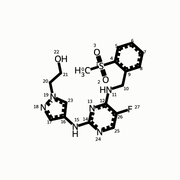 CS(=O)(=O)c1ccccc1CNc1nc(Nc2cnn(CCO)c2)ncc1F